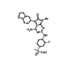 CC(C)n1c(=O)n(-c2ccc3occc3c2)c2c(N)nc(Nc3ccc([SH](C)(=O)C=O)cc3F)nc21